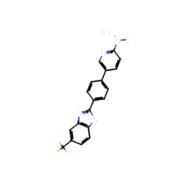 CN(C)c1ccc(-c2ccc(-c3nc4cc(C(F)(F)F)ccc4[nH]3)cc2)cn1